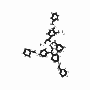 Nc1cc(C(CO)N(CCC(c2ccc(OCc3ccccc3)cc2)c2ccc(OCc3ccccc3)cc2)Cc2ccccc2)ccc1OCc1ccccc1